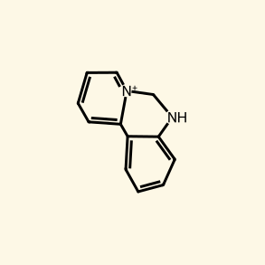 c1ccc2c(c1)NC[n+]1ccccc1-2